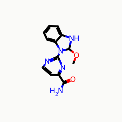 COC1Nc2ccccc2N1c1nccc(C(N)=O)n1